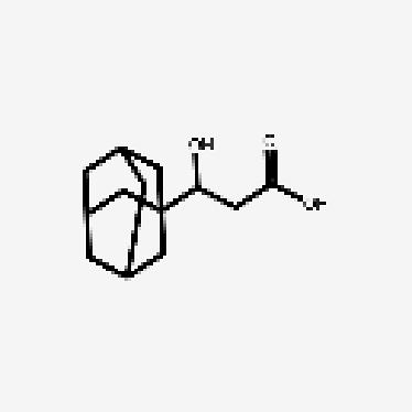 O=C(O)CC(O)C12CC3CC(CC(C3)C1)C2